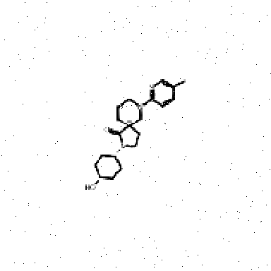 Cc1ccc(N2CCC[C@]3(CCN([C@H]4CC[C@H](O)CC4)C3=O)C2)nc1